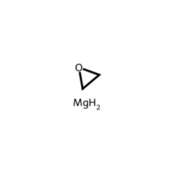 C1CO1.[MgH2]